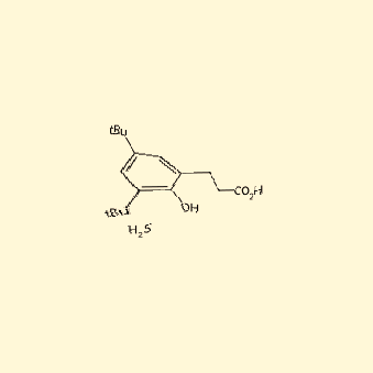 CC(C)(C)c1cc(CCC(=O)O)c(O)c(C(C)(C)C)c1.S